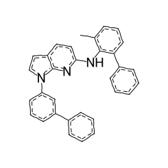 Cc1cccc(-c2ccccc2)c1Nc1ccc2ccn(-c3cccc(-c4ccccc4)c3)c2n1